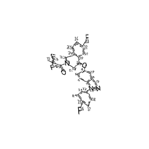 C[C@H]1[C@H](Oc2ccc3c(cnn3-c3ccc(F)cc3)c2)c2cc(F)ccc2CN1C(=O)C(C)(F)F